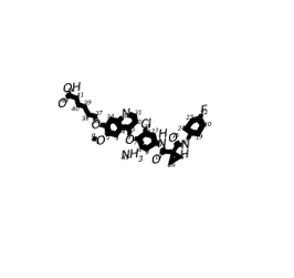 COc1cc2c(Oc3ccc(NC(=O)C4(C(=O)Nc5ccc(F)cc5)CC4)cc3Cl)ccnc2cc1OCCCCCC(=O)O.N